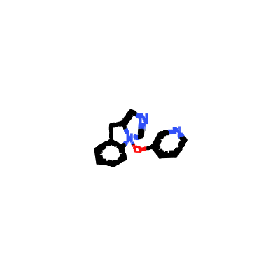 C1=NC=C2Cc3ccccc3[N+]12Oc1cccnc1